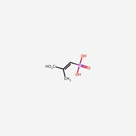 CC(=CP(=O)(O)O)C(=O)O